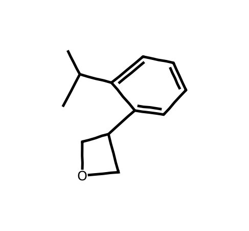 CC(C)c1ccccc1C1COC1